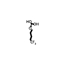 OP(O)OCCCCC(F)(F)F